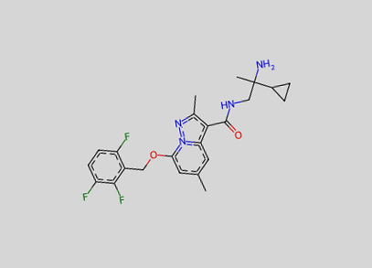 Cc1cc(OCc2c(F)ccc(F)c2F)n2nc(C)c(C(=O)NCC(C)(N)C3CC3)c2c1